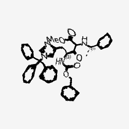 COC(=O)C(N[C@@H](C)c1ccccc1)C(=O)[C@H](Cc1cn(C(c2ccccc2)(c2ccccc2)c2ccccc2)cn1)NC(=O)OCc1ccccc1